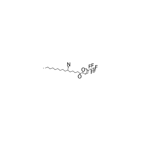 [CH2]CCCCCCCCC(C#N)CCCCC(=O)[C]1OC2CCC1CC2C(F)(F)C(F)(F)F